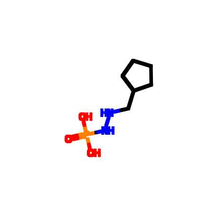 O=P(O)(O)NNCC1CCCC1